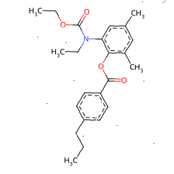 CCCc1ccc(C(=O)Oc2c(C)cc(C)cc2N(CC)C(=O)OCC)cc1